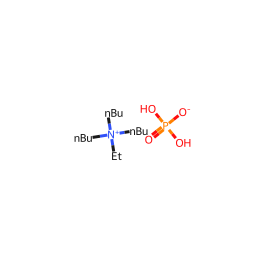 CCCC[N+](CC)(CCCC)CCCC.O=P([O-])(O)O